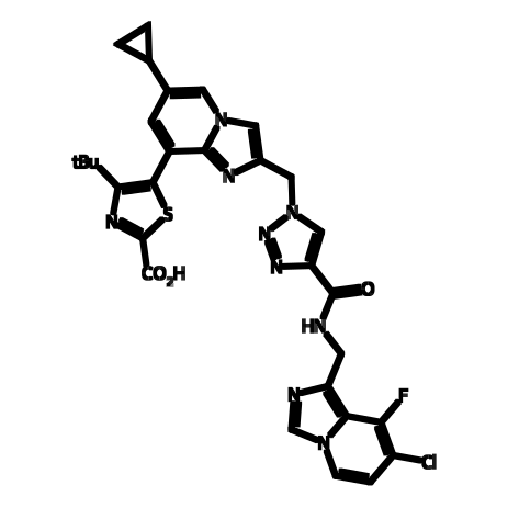 CC(C)(C)c1nc(C(=O)O)sc1-c1cc(C2CC2)cn2cc(Cn3cc(C(=O)NCc4ncn5ccc(Cl)c(F)c45)nn3)nc12